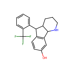 Oc1ccc2c(c1)C1NCCCC1C2c1ccccc1C(F)(F)F